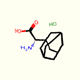 Cl.N[C@H](C(=O)O)C12CC3CC(CC(C3)C1)C2